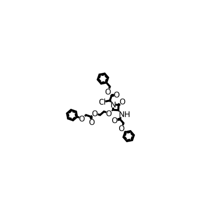 O=C(COc1ccccc1)N[C@@H]1C(=O)N(C(Cl)C(=O)OCc2ccccc2)[C@@H]1OCCOC(=O)COc1ccccc1